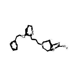 Nc1nc2c(s1)CCN(C/C=C/c1ncccc1OCc1ccccc1)CC2